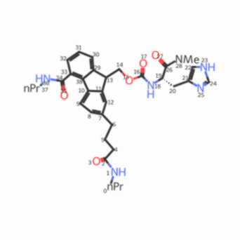 CCCNC(=O)CCCc1ccc2c(c1)C(COC(=O)N[C@@H](Cc1c[nH]cn1)C(=O)NC)c1cccc(C(=O)NCCC)c1-2